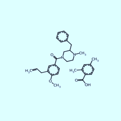 C=CCc1cc(C(=O)N2CCN(C)C(Cc3ccccc3)C2)ccc1OC.Cc1ccc(C(=O)O)c(C)c1